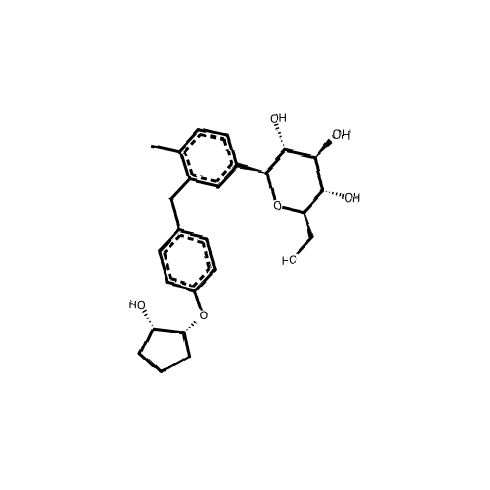 Cc1ccc([C@@H]2O[C@H](CO)[C@@H](O)[C@H](O)[C@H]2O)cc1Cc1ccc(O[C@@H]2CCC[C@@H]2O)cc1